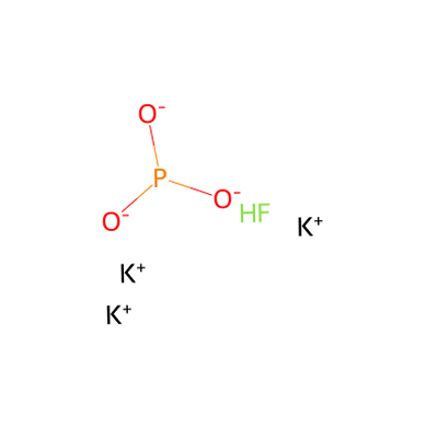 F.[K+].[K+].[K+].[O-]P([O-])[O-]